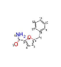 NC(=O)c1ccc([CH]c2ccccc2)o1